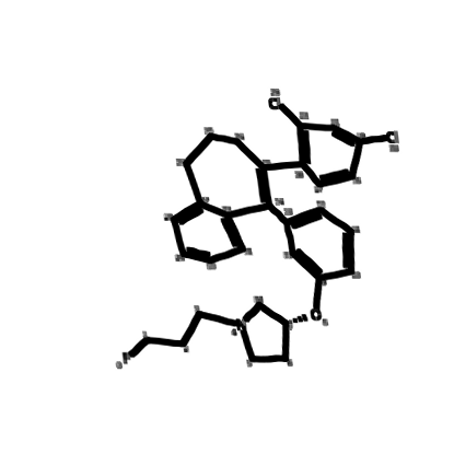 FCCCN1CC[C@@H](Oc2cccc(C3=C(c4ccc(Cl)cc4Cl)CCCc4ccccc43)c2)C1